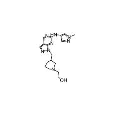 Cn1cc(Nc2ncc3cnn(CC4CCCN(CCO)C4)c3n2)cn1